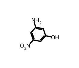 Nc1cc(O)cc([N+](=O)[O-])c1